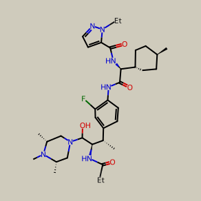 CCC(=O)N[C@@H](C(O)N1C[C@@H](C)N(C)[C@@H](C)C1)[C@@H](C)c1ccc(NC(=O)[C@@H](NC(=O)c2ccnn2CC)[C@H]2CC[C@H](C)CC2)c(F)c1